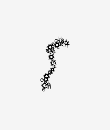 N#Cc1c(NS(=O)(=O)N2CC[C@@H](F)C2)ccc(F)c1Oc1ccc2ncn(-c3ccc(N4CCN(CC5CC6(C5)CN(c5ccc7c(c5)CN([C@H]5CCC(=O)NC5=O)C7=O)C6)CC4)cc3)c(=O)c2c1